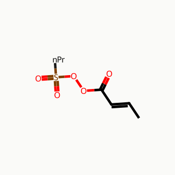 CC=CC(=O)OOS(=O)(=O)CCC